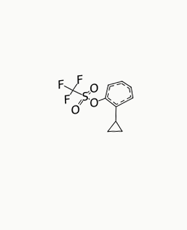 O=S(=O)(Oc1ccccc1C1CC1)C(F)(F)F